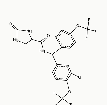 O=C1NCC(C(=O)NC(c2ccc(OC(F)(F)F)c(Cl)c2)c2ccc(OC(F)(F)F)cn2)N1